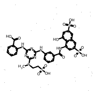 CN(CCS(=O)(=O)O)c1nc(Nc2cccc(C(=O)Nc3cc(S(=O)(=O)O)cc4cc(S(=O)(=O)O)cc(O)c34)c2)nc(Nc2ccccc2C(=O)O)n1